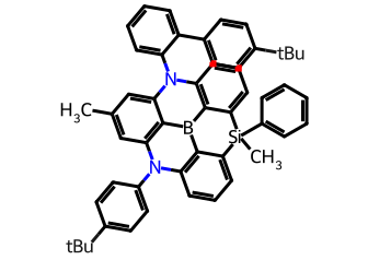 Cc1cc2c3c(c1)N(c1ccccc1-c1ccc(C(C)(C)C)cc1)c1cccc4c1B3c1c(cccc1[Si]4(C)c1ccccc1)N2c1ccc(C(C)(C)C)cc1